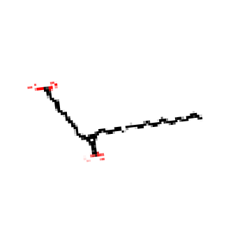 CCCCCCCCCCCCCCC1C(CCCCCCCC(=O)O)C1C(=O)O